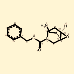 NCC[C@]12CN(C(=O)OCc3ccccc3)CC[C@H]1O2